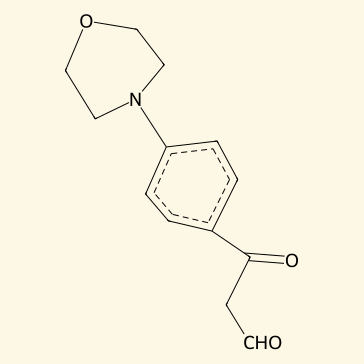 O=CCC(=O)c1ccc(N2CCOCC2)cc1